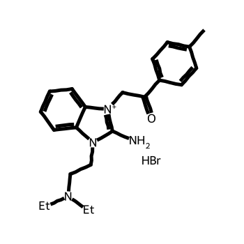 Br.CCN(CC)CCn1c(N)[n+](CC(=O)c2ccc(C)cc2)c2ccccc21